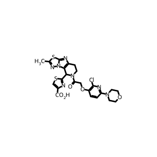 Cc1nn2c3c(nc2s1)CCN(C(=O)COc1ccc(N2CCOCC2)nc1Cl)C3c1nc(C(=O)O)cs1